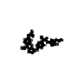 COCc1cc(CN(C)C(=O)c2ccc(C[C@@H]3CC[C@H](C(O)c4ccc(OC(F)F)cc4)N3)cc2)n[nH]1